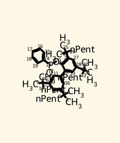 CCCCCC(C)(C)c1cc(C(C)(C)CCCCC)c2op(-c3ccccc3)oc3c(C(C)(C)CCCCC)cc(C(C)(C)CCCCC)cc3c2c1